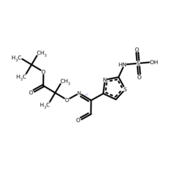 CC(C)(C)OC(=O)C(C)(C)O/N=C(\[C]=O)c1csc(NS(=O)(=O)O)n1